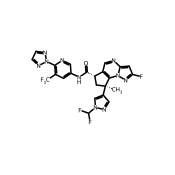 C[C@]1(c2cnn(C(F)F)c2)C[C@H](C(=O)Nc2cnc(-n3nccn3)c(C(F)(F)F)c2)c2cnc3cc(F)nn3c21